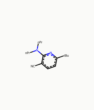 CCCN(CCC)c1nc(C(C)(C)C)ccc1C#N